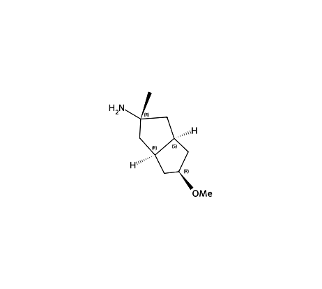 CO[C@@H]1C[C@@H]2C[C@@](C)(N)C[C@@H]2C1